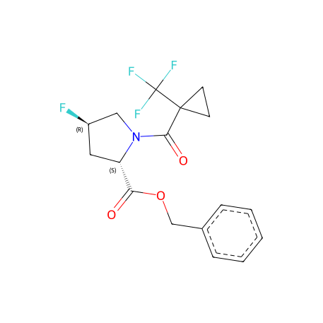 O=C(OCc1ccccc1)[C@@H]1C[C@@H](F)CN1C(=O)C1(C(F)(F)F)CC1